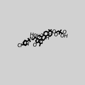 CC(C)C1=C2[C@H]3CC[C@@H]4[C@@]5(C)CC[C@H](OC(=O)CC(C)(C)C(=O)O)C(C)(C)C5CC[C@@]4(C)[C@]3(C)CC[C@@]2([C@H](O)CNC(C)(C)c2ccc(Cl)cn2)CC1=O